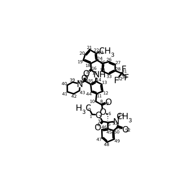 CCOC(=O)[C@]1(COC(=O)Cc2ccc(NC(=O)c3cccc(C)c3-c3ccc(C(F)(F)F)cc3)c(C(=O)N3CCCCC3)c2)c2ccccc2C(=O)N1C